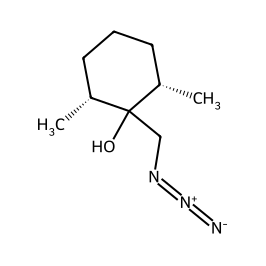 C[C@@H]1CCC[C@H](C)C1(O)CN=[N+]=[N-]